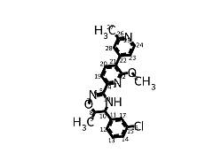 COc1nc(C2=NOC(C)C(c3cccc(Cl)c3)N2)ccc1-c1ccnc(C)c1